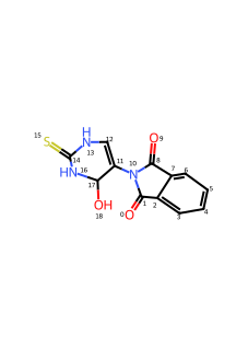 O=C1c2ccccc2C(=O)N1C1=CNC(=S)NC1O